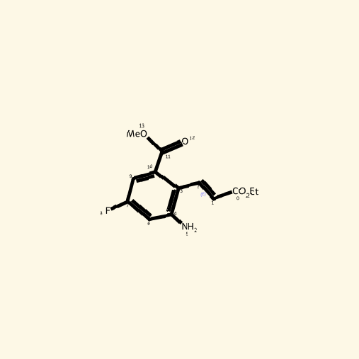 CCOC(=O)/C=C/c1c(N)cc(F)cc1C(=O)OC